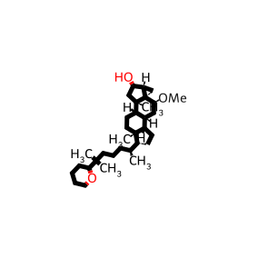 CO[C@@H]1C[C@H]2[C@@H]3CC[C@H]([C@@H](C)CCCC(C)(C)C4CCCCO4)[C@@]3(C)CC[C@@H]2[C@@]2(C)CC(O)[C@H]3C[C@]312